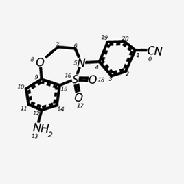 N#Cc1ccc(N2CCOc3ccc(N)cc3S2(=O)=O)cc1